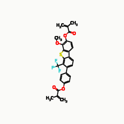 C=C(C)C(=O)Oc1ccc(-c2ccc3c(sc4c(OC)c(OC(=O)C(=C)C)ccc43)c2C(F)(F)F)cc1